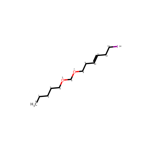 CCCCCOCOCCC=CCCI